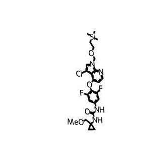 COCC1(NC(=O)Nc2cc(F)c(Oc3ccnc4c3c(Cl)cn4COCC[Si](C)(C)C)c(F)c2)CC1